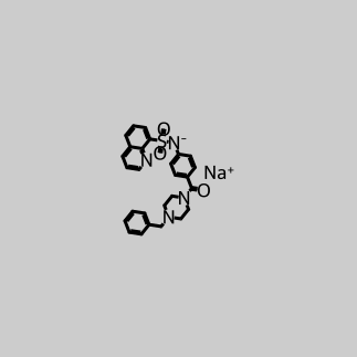 O=C(c1ccc([N-]S(=O)(=O)c2cccc3cccnc23)cc1)N1CCN(Cc2ccccc2)CC1.[Na+]